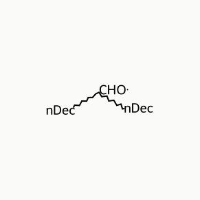 CCCCCCCCCCCCCCCCCC([C]=O)CCCCCCCCCCCCCCCCC